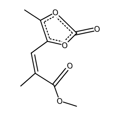 COC(=O)C(C)=Cc1oc(=O)oc1C